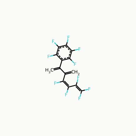 C=C(C(=C)c1c(F)c(F)c(F)c(F)c1F)/C(F)=C(/F)C(F)=C(F)F